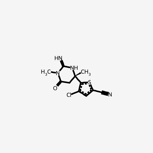 CN1C(=N)N[C@](C)(c2sc(C#N)cc2Cl)CC1=O